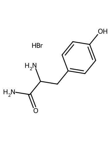 Br.NC(=O)C(N)Cc1ccc(O)cc1